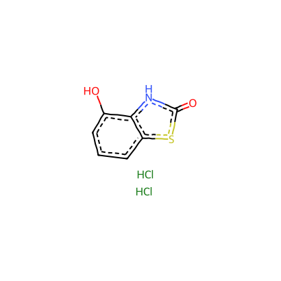 Cl.Cl.O=c1[nH]c2c(O)cccc2s1